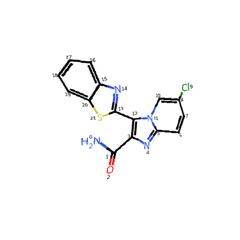 NC(=O)c1nc2ccc(Cl)cn2c1-c1nc2ccccc2s1